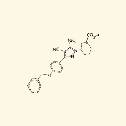 N#Cc1c(-c2ccc(OCc3ccccc3)cc2)nn(C2CCCN(C(=O)O)C2)c1N